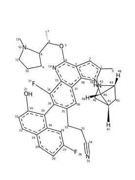 Cc1cc2c(O[C@@H](C)C3CCCN3C)nc3c(F)c(-c4c(O)ccc5ccc(F)cc45)c(CCC#N)cc3c2n1[C@H]1[C@H]2CN[C@@H]1C2